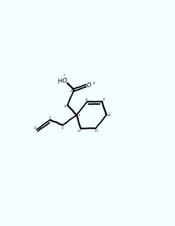 C=CCC1(CC(=O)O)C=CCCC1